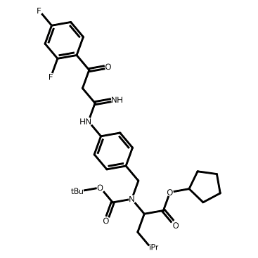 CC(C)CC(C(=O)OC1CCCC1)N(Cc1ccc(NC(=N)CC(=O)c2ccc(F)cc2F)cc1)C(=O)OC(C)(C)C